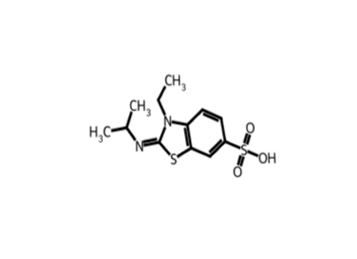 CCn1c(=NC(C)C)sc2cc(S(=O)(=O)O)ccc21